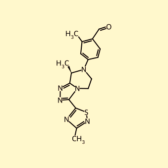 Cc1nsc(-c2nnc3n2CCN(c2ccc(C=O)c(C)c2)[C@@H]3C)n1